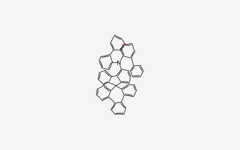 c1ccc(-c2ccccc2N(c2ccccc2-c2ccccc2)c2cccc3c2-c2ccccc2C32c3ccccc3-c3ccccc3-c3ccccc32)cc1